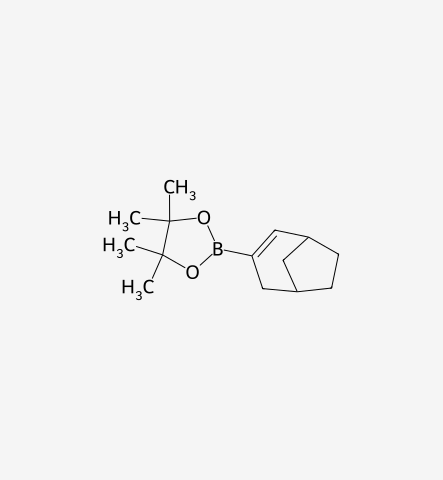 CC1(C)OB(C2=CC3CCC(C2)C3)OC1(C)C